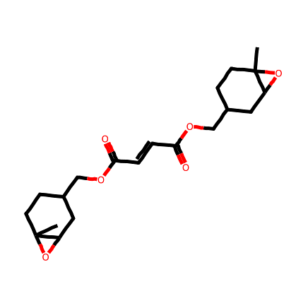 CC12CCC(COC(=O)/C=C/C(=O)OCC3CCC4(C)OC4C3)CC1O2